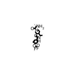 CC(NC(=O)c1ccc2c(c1)OC(F)(F)O2)C1CCN(C(=O)[C@H](C)N)CC1